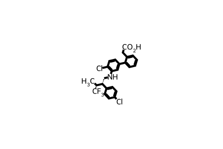 C[C@H]([C@H](CNc1cc(-c2ccccc2CC(=O)O)ccc1Cl)c1ccc(Cl)cc1)C(F)(F)F